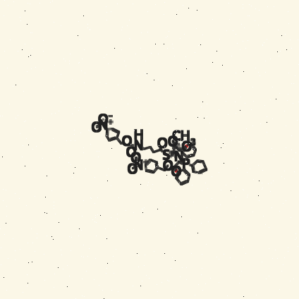 CO[C@H]1C(=O)N(C(C(=O)OCc2ccc([N+](=O)[O-])cc2)=P(c2ccccc2)(c2ccccc2)c2ccccc2)[C@@H]1SC(=O)CCCNC(=O)OCc1ccc([N+](=O)[O-])cc1